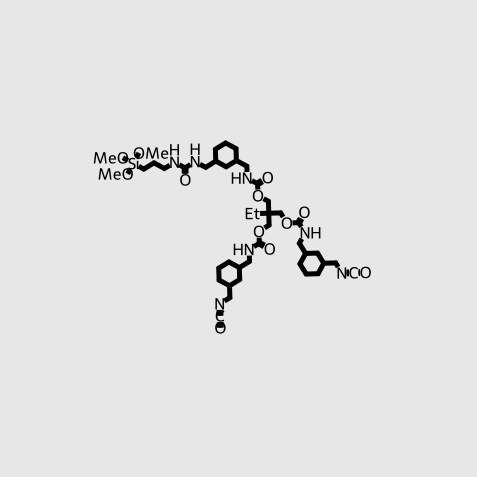 CCC(COC(=O)NCC1CCCC(CN=C=O)C1)(COC(=O)NCC1CCCC(CN=C=O)C1)COC(=O)NCC1CCCC(CNC(=O)NCCC[Si](OC)(OC)OC)C1